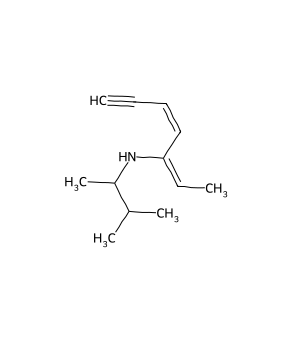 C#C/C=C\C(=C/C)NC(C)C(C)C